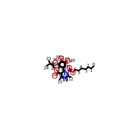 CCCCCCCOC(=O)N1C(C)=NC(C)=C(C(=O)OCC=C(C)C)C1c1cc(OC)c(OC)c(OC)c1